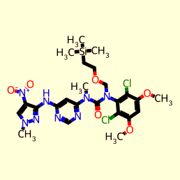 COc1cc(OC)c(Cl)c(N(COCC[Si](C)(C)C)C(=O)N(C)c2cc(Nc3nn(C)cc3[N+](=O)[O-])ncn2)c1Cl